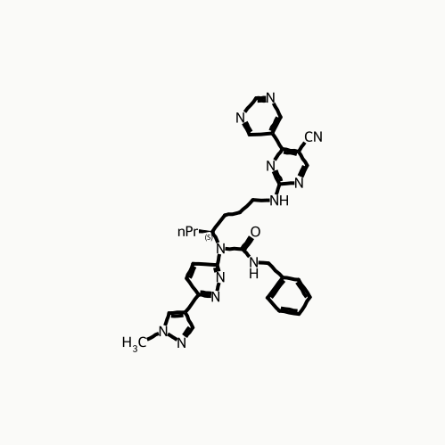 CCC[C@@H](CCCNc1ncc(C#N)c(-c2cncnc2)n1)N(C(=O)NCc1ccccc1)c1ccc(-c2cnn(C)c2)nn1